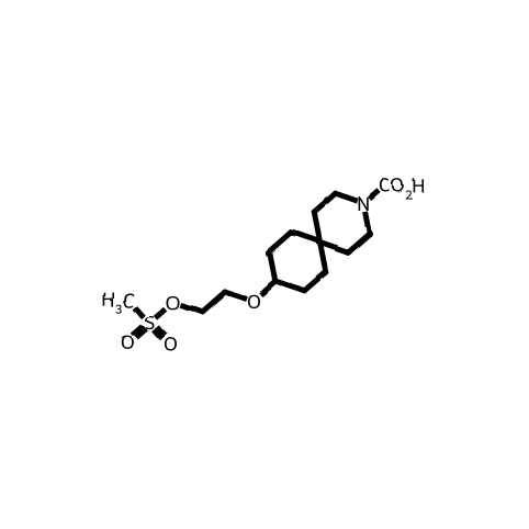 CS(=O)(=O)OCCOC1CCC2(CC1)CCN(C(=O)O)CC2